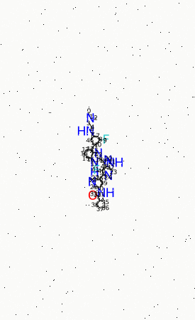 CN(C)CCNc1cc(F)cc(-c2cccc3[nH]c(-c4n[nH]c5cnc(-c6cncc(NC(=O)C7CCCC7)c6)c(F)c45)nc23)c1